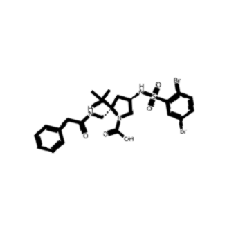 CC(C)(C)[C@@]1(CNC(=O)Cc2ccccc2)C[C@@H](NS(=O)(=O)c2cc(Br)ccc2Br)CN1C(=O)O